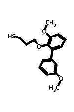 COc1cccc(-c2cccc(OC)c2OCCCS)c1